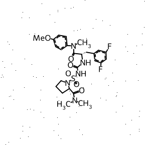 COc1ccc(N(C)C(=O)[C@H](Cc2cc(F)cc(F)c2)NC(=O)NS(=O)(=O)N2CCCC2C(=O)N(C)C)cc1